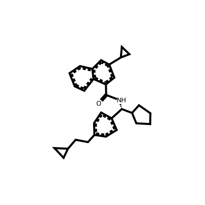 O=C(N[C@@H](c1ccc(CCC2CC2)cc1)C1CCCC1)c1cc(C2CC2)cc2ccccc12